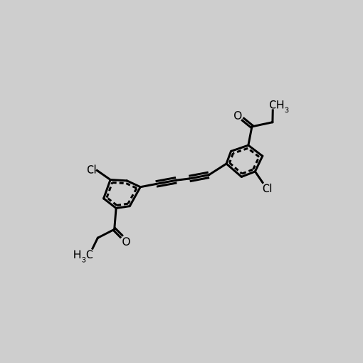 CCC(=O)c1cc(Cl)cc(C#CC#Cc2cc(Cl)cc(C(=O)CC)c2)c1